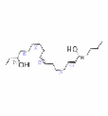 CCCC[C@@H](O)/C=C/C=C\C/C=C\C/C=C\C=C\[C@@H](O)CC